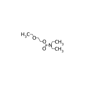 CCOCCOC(=O)N(CC)CC